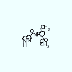 CCc1ccc(C(=O)OC)cc1CNC(=O)c1cnc2[nH]ccc2c1